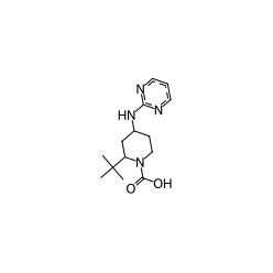 CC(C)(C)C1CC(Nc2ncccn2)CCN1C(=O)O